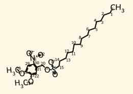 CCCCCCCCCCCCCCCCS(=O)(=O)OCc1cc(OC)c(OC)cc1[N+](=O)[O-]